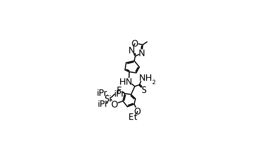 CCOc1cc(O[Si](C(C)C)(C(C)C)C(C)C)c(F)c(C(Nc2ccc(-c3noc(C)n3)cc2)C(N)=S)c1